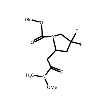 CON(C)C(=O)CC1CC(F)(F)CN1C(=O)OC(C)(C)C